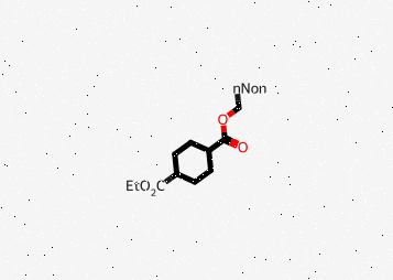 CCCCCCCCCCOC(=O)C1CCC(C(=O)OCC)CC1